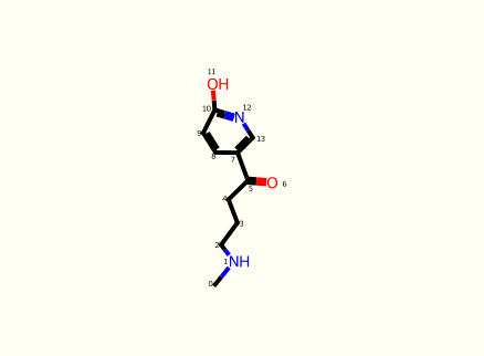 CNCCCC(=O)c1ccc(O)nc1